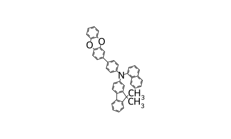 CC1(C)c2ccccc2-c2ccc(N(c3ccc(-c4ccc5c(c4)Oc4ccccc4O5)cc3)c3cccc4ccccc34)cc21